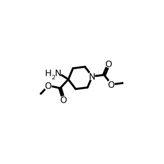 COC(=O)N1CCC(N)(C(=O)OC)CC1